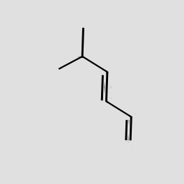 CC(I)/C=C/C=O